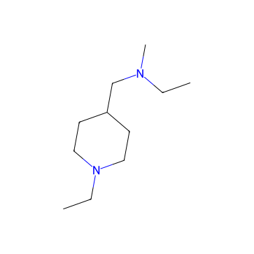 CCN(C)CC1CCN(CC)CC1